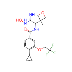 CC1(C(NC(=O)c2ccc(C3CC3)c(OCC(F)(F)F)c2)C(=N)NO)COC1